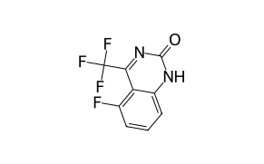 O=c1nc(C(F)(F)F)c2c(F)cccc2[nH]1